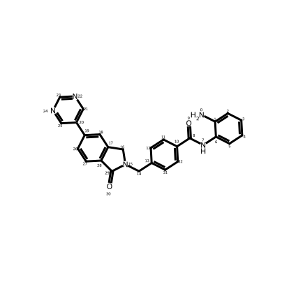 Nc1ccccc1NC(=O)c1ccc(CN2Cc3cc(-c4cncnc4)ccc3C2=O)cc1